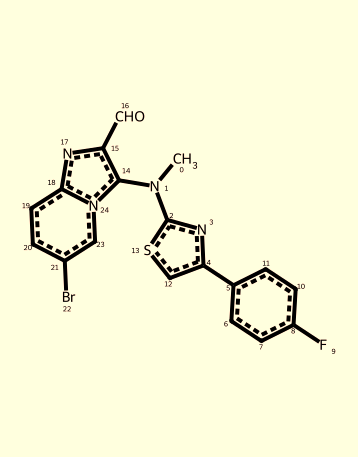 CN(c1nc(-c2ccc(F)cc2)cs1)c1c(C=O)nc2ccc(Br)cn12